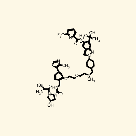 Cc1ncsc1-c1ccc(CNC(=O)[C@@H]2C[C@@H](O)CN2C(=O)C(N)C(C)(C)C)c(OCCOCCN(C)CC2CCC(n3cc4cc(NC(=O)c5cccc(C(F)(F)F)n5)c(C(C)(C)O)cc4n3)CC2)c1